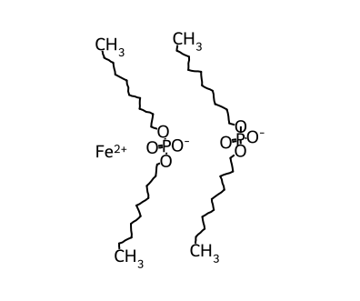 CCCCCCCCCCOP(=O)([O-])OCCCCCCCCCC.CCCCCCCCCCOP(=O)([O-])OCCCCCCCCCC.[Fe+2]